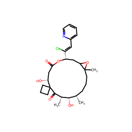 C[C@@H]1C(=O)C2(CCC2)[C@H](O)CC(=O)O[C@H](C(Cl)=Cc2ccccn2)CC2OC2(C)CCC[C@H](C)[C@@H]1O